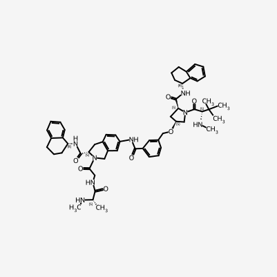 CN[C@@H](C)C(=O)NCC(=O)N1Cc2cc(NC(=O)c3cccc(CO[C@H]4C[C@@H](C(=O)N[C@@H]5CCCc6ccccc65)N(C(=O)[C@@H](NC)C(C)(C)C)C4)c3)ccc2C[C@H]1C(=O)N[C@@H]1CCCc2ccccc21